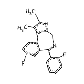 Cc1nc2n(c1C)-c1ccc(F)cc1C(c1ccccc1F)=NC2